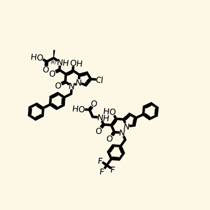 C[C@@H](NC(=O)c1c(O)c2cc(Cl)cn2n(Cc2ccc(-c3ccccc3)cc2)c1=O)C(=O)O.O=C(O)CNC(=O)c1c(O)c2cc(-c3ccccc3)cn2n(Cc2ccc(C(F)(F)F)cc2)c1=O